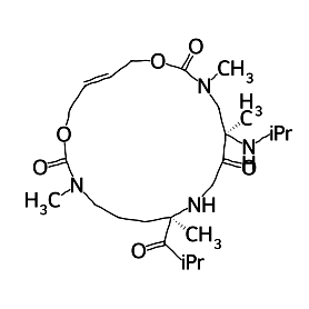 CC(C)N[C@]1(C)CN(C)C(=O)OC/C=C/COC(=O)N(C)CCC[C@](C)(C(=O)C(C)C)NCC1=O